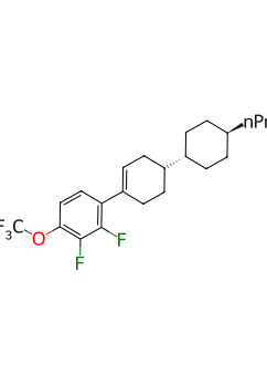 CCC[C@H]1CC[C@H](C2CC=C(c3ccc(OC(F)(F)F)c(F)c3F)CC2)CC1